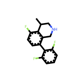 CC1CNCc2c(-c3c(F)cccc3F)ccc(F)c21